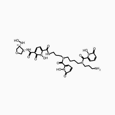 NCCCN(CCCCN(CCCNC(=O)c1ccc(C(=O)N[C@@H]2COC[C@@H]2NO)c(=O)n1O)C(=O)c1cccc(=O)n1O)C(=O)c1cccc(=O)n1O